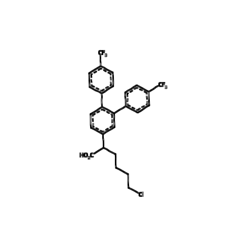 O=C(O)C(CCCCCl)c1ccc(-c2ccc(C(F)(F)F)cc2)c(-c2ccc(C(F)(F)F)cc2)c1